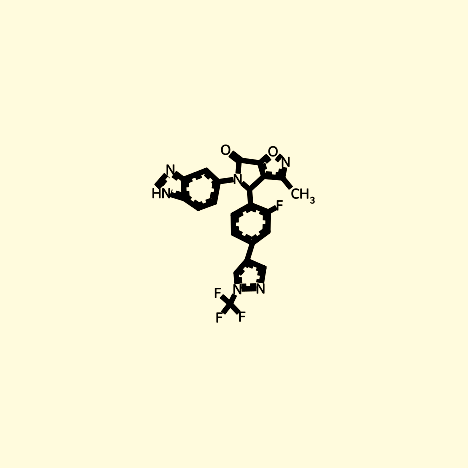 Cc1noc2c1C(c1ccc(-c3cnn(C(F)(F)F)c3)cc1F)N(c1ccc3[nH]cnc3c1)C2=O